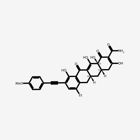 CCc1cc(C#Cc2ccc(OC)cc2)c(O)c2c1C[C@H]1C[C@H]3CC(O)=C(C(N)=O)C(=O)[C@@]3(O)C(O)=C1C2=O